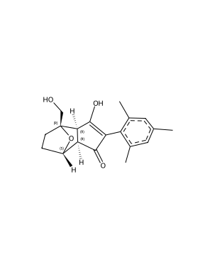 Cc1cc(C)c(C2=C(O)[C@H]3[C@@H](C2=O)[C@@H]2CC[C@@]3(CO)O2)c(C)c1